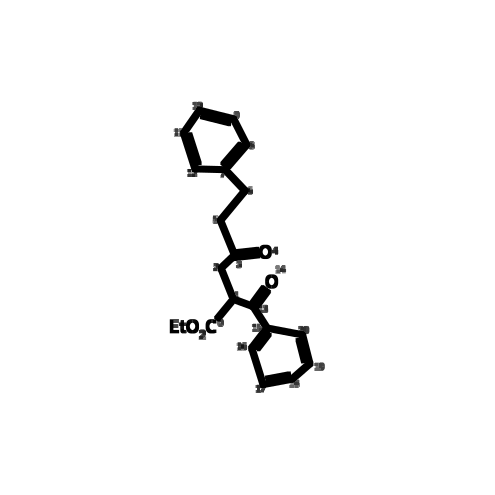 CCOC(=O)C(CC(=O)CCc1ccccc1)C(=O)c1ccccc1